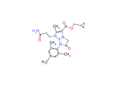 CC1=C(C(=O)OCC2CC2)N2CC(=O)N(c3c(C)cc(C)cc3C)C2N1CCC(N)=O